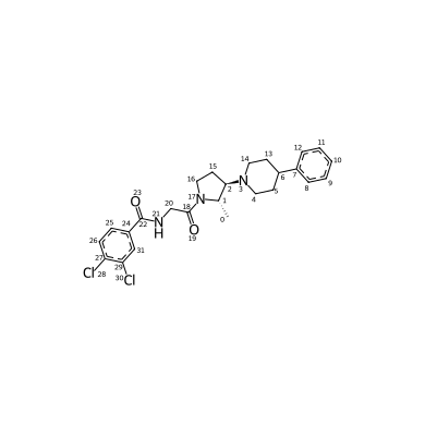 C[C@H]1[C@H](N2CCC(c3ccccc3)CC2)CCN1C(=O)CNC(=O)c1ccc(Cl)c(Cl)c1